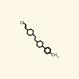 Cc1ccc(C2CCC(CCC3CCC(/C=C/Cl)CC3)CC2)cc1